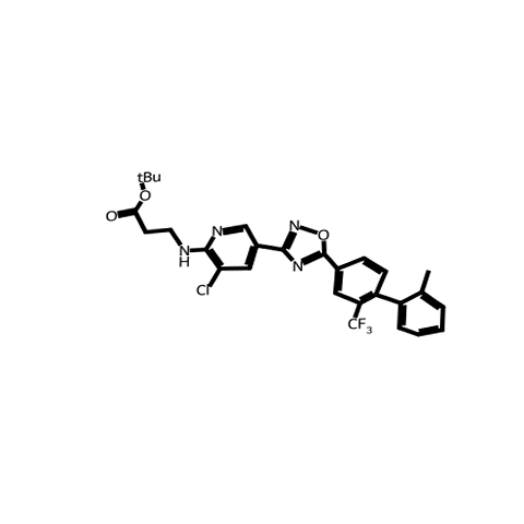 Cc1ccccc1-c1ccc(-c2nc(-c3cnc(NCCC(=O)OC(C)(C)C)c(Cl)c3)no2)cc1C(F)(F)F